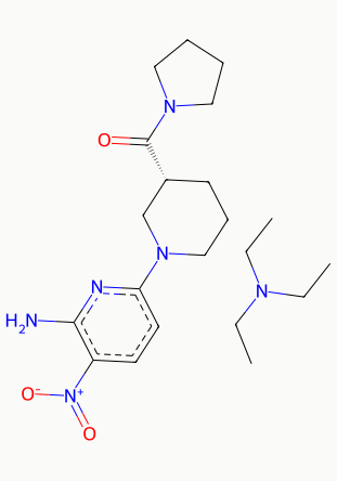 CCN(CC)CC.Nc1nc(N2CCC[C@@H](C(=O)N3CCCC3)C2)ccc1[N+](=O)[O-]